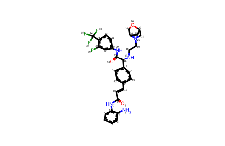 Nc1ccccc1NC(=O)/C=C/c1ccc([C@H](NCCN2CC3CC2CO3)C(=O)Nc2ccc(C(F)(F)F)c(F)c2)cc1